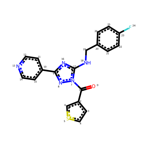 O=C(c1ccsc1)n1nc(-c2ccncc2)nc1NCc1ccc(F)cc1